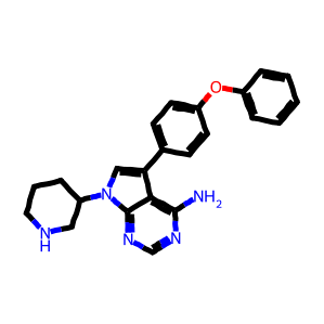 Nc1ncnc2c1c(-c1ccc(Oc3ccccc3)cc1)cn2C1CCCNC1